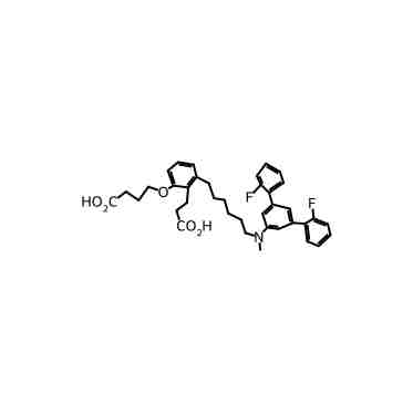 CN(CCCCCCc1cccc(OCCCC(=O)O)c1CCC(=O)O)c1cc(-c2ccccc2F)cc(-c2ccccc2F)c1